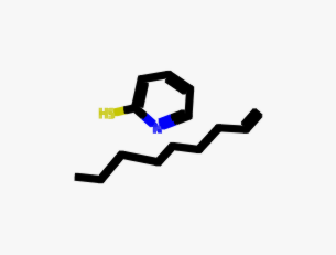 C=CCCCCCCC.Sc1ccccn1